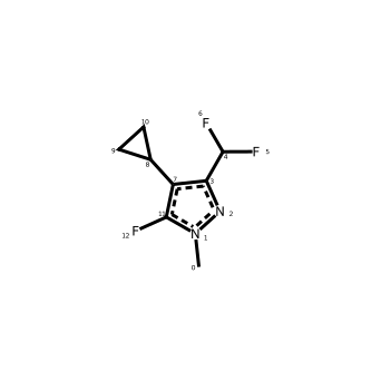 Cn1nc(C(F)F)c(C2CC2)c1F